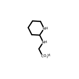 O=C(O)CNC1CCCCN1